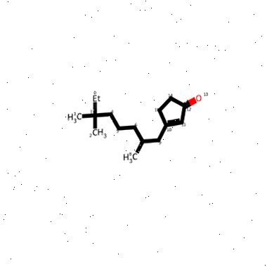 CCC(C)(C)CCCC(C)CC1=CC(=O)CC1